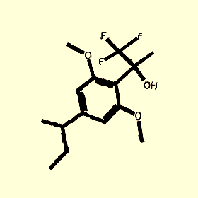 CCC(C)c1cc(OC)c(C(C)(O)C(F)(F)F)c(OC)c1